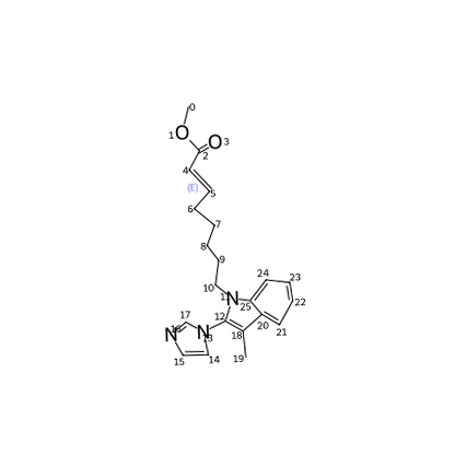 COC(=O)/C=C/CCCCCn1c(-n2ccnc2)c(C)c2ccccc21